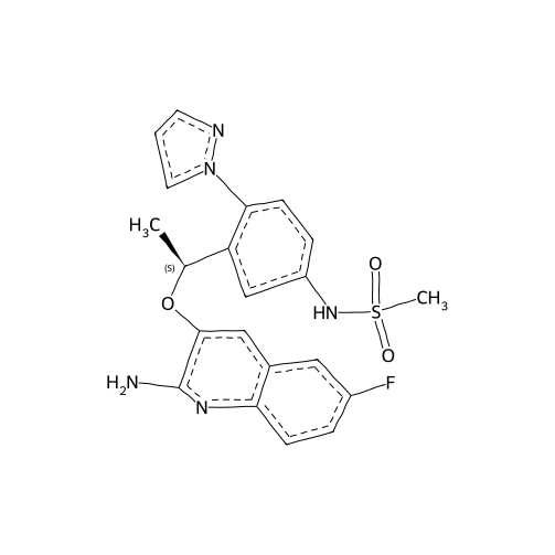 C[C@H](Oc1cc2cc(F)ccc2nc1N)c1cc(NS(C)(=O)=O)ccc1-n1cccn1